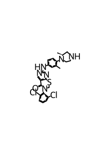 Cc1cc(Nc2ncc3c(n2)SCN(c2c(Cl)cccc2Cl)C3=O)ccc1N1CCNC[C@@H]1C